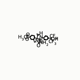 CS(=O)(=O)c1ccc2c(c1)CN(C(N)=O)C2(C(=O)Nc1ccc(C(O)(C(F)(F)F)C(F)(F)F)cc1)C1CC1